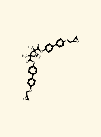 CC(C)(CC(C)(C)C(=O)Oc1ccc(-c2ccc(OCC3CO3)cc2)cc1)C(=O)Oc1ccc(-c2ccc(OCC3CO3)cc2)cc1